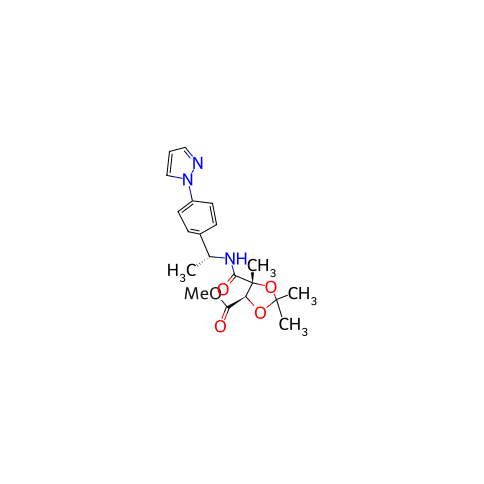 COC(=O)[C@@H]1OC(C)(C)O[C@@]1(C)C(=O)N[C@H](C)c1ccc(-n2cccn2)cc1